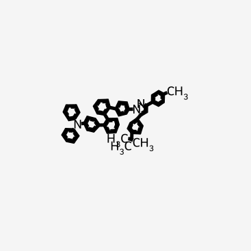 Cc1ccc(-c2cc(-c3ccc(C(C)(C)C)cc3)n(-c3ccc(-c4ccccc4-c4ccccc4-c4ccc(N(c5ccccc5)c5ccccc5)cc4)cc3)n2)cc1